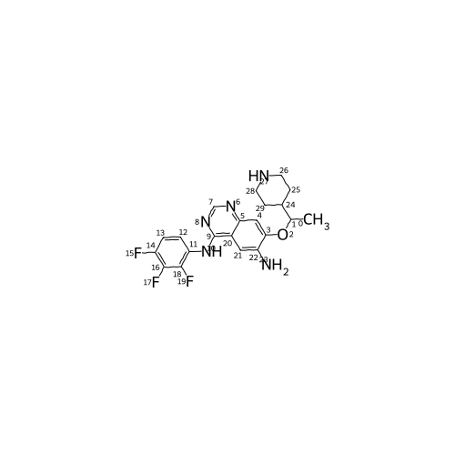 CC(Oc1cc2ncnc(Nc3ccc(F)c(F)c3F)c2cc1N)C1CCNCC1